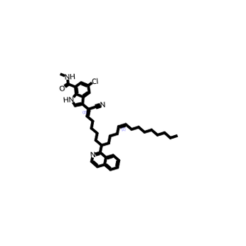 CCCCCCCC/C=C\CCCC(CCCC/C=C(\C#N)c1c[nH]c2c(C(=O)NC)cc(Cl)cc12)c1nccc2ccccc12